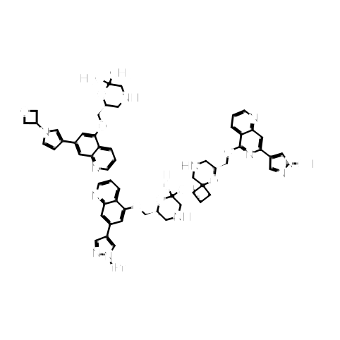 CC(C)n1cc(-c2cc(OC[C@@H]3CNCC(C)(C)O3)c3cccnc3c2)cn1.CC1(C)CNC[C@@H](COc2cc(-c3ccn(C4COC4)c3)cc3ncccc23)O1.Cn1cc(-c2cc3ncccc3c(OC[C@@H]3CNCC4(CCC4)O3)n2)cn1